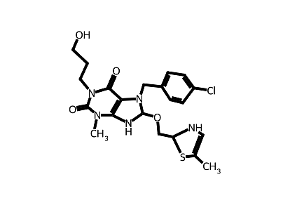 CC1=CNC(COC2Nc3c(c(=O)n(CCCO)c(=O)n3C)N2Cc2ccc(Cl)cc2)S1